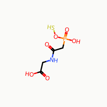 O=C(O)CNC(=O)CP(=O)(O)OS